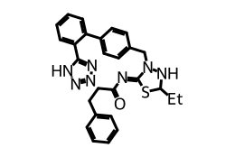 CCC1NN(Cc2ccc(-c3ccccc3-c3nnn[nH]3)cc2)C(=NC(=O)CCc2ccccc2)S1